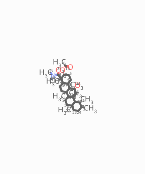 CC(=O)O[C@@H]1CC[C@@]2(C)C(CC[C@]3(C)C2C(=O)C=C2C4[C@@H](C)[C@H](C)CC[C@]4(C)CC[C@]23C)[C@@]1(C)C(=O)N(C)C